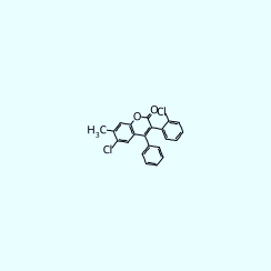 Cc1cc2oc(=O)c(-c3ccccc3Cl)c(-c3ccccc3)c2cc1Cl